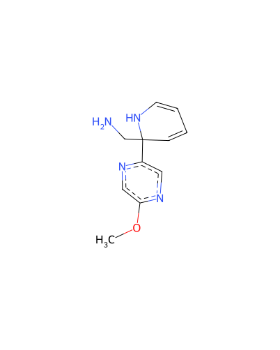 COc1cnc(C2(CN)C=CC=CN2)cn1